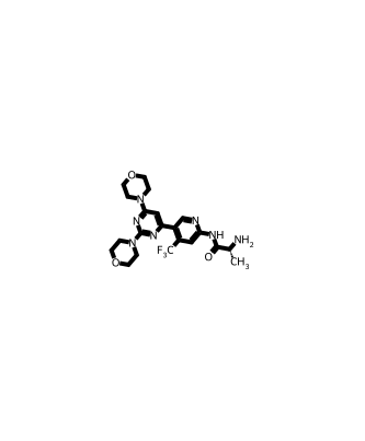 C[C@@H](N)C(=O)Nc1cc(C(F)(F)F)c(-c2cc(N3CCOCC3)nc(N3CCOCC3)n2)cn1